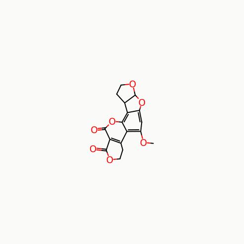 COc1cc2c(c3oc(=O)c4c(c13)CCOC4=O)C1CCOC1O2